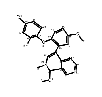 COC1c2cncnc2C(c2cc(SC)ccc2Oc2ccc(F)cc2F)=CN1C